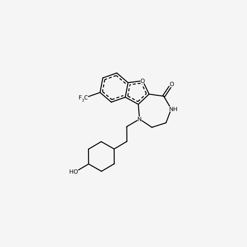 O=C1NCCN(CCC2CCC(O)CC2)c2c1oc1ccc(C(F)(F)F)cc21